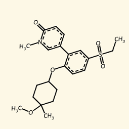 CCS(=O)(=O)c1ccc(OC2CCC(C)(OC)CC2)c(-c2ccc(=O)n(C)c2)c1